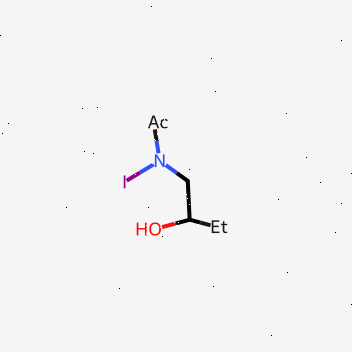 CCC(O)CN(I)C(C)=O